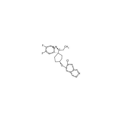 CC[C@H](N)[C@]1(c2ccc(F)c(F)c2)CC[C@H](Oc2cc3ccncc3cc2Cl)CC1